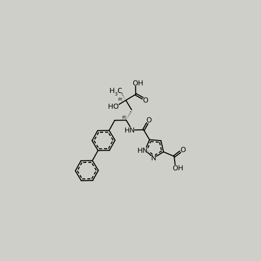 C[C@@](O)(C[C@@H](Cc1ccc(-c2ccccc2)cc1)NC(=O)c1cc(C(=O)O)n[nH]1)C(=O)O